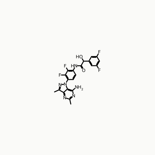 Cc1nc(N)c2c(n1)c(C)nn2-c1ccc(NC(=O)C(O)c2cc(F)cc(F)c2)c(F)c1F